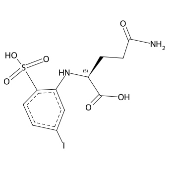 NC(=O)CC[C@H](Nc1cc(I)ccc1S(=O)(=O)O)C(=O)O